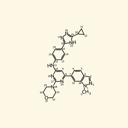 Cn1ncc2ccc(-c3cc(Nc4ccc(-c5nnc(C6CC6)[nH]5)cc4)nc(N4CCOCC4)n3)cc21